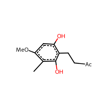 COc1cc(O)c(CCC(C)=O)c(O)c1C